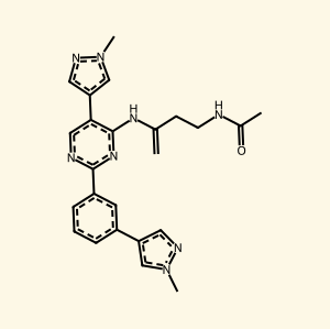 C=C(CCNC(C)=O)Nc1nc(-c2cccc(-c3cnn(C)c3)c2)ncc1-c1cnn(C)c1